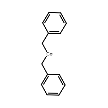 c1ccc([CH2][Ge][CH2]c2ccccc2)cc1